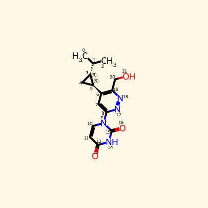 CC(C)[C@H]1C[C@@H]1c1cc(-n2ccc(=O)[nH]c2=O)nnc1CO